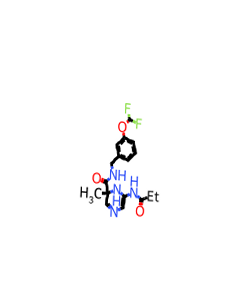 CCC(=O)NC1=CN=CC(C)(C(=O)NCc2cccc(OC(F)F)c2)N1